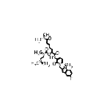 CN(C)CCN(C)C(=O)OC(CC/C=C/C(=O)N(C)C)C(=O)Nc1cccn(Cc2cc3cc(F)ccc3n2C)c1=O